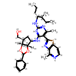 CCC[C@@H](Nc1nc(C)c(-c2nc3c(C)nccc3s2)c(NC2C[C@H](CO)[C@H]3OC(c4ccccc4)O[C@@H]23)n1)[C@@H](C)CC